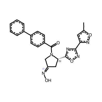 Cc1cc(-c2noc([C@@H]3C/C(=N\O)CN3C(=O)c3ccc(-c4ccccc4)cc3)n2)no1